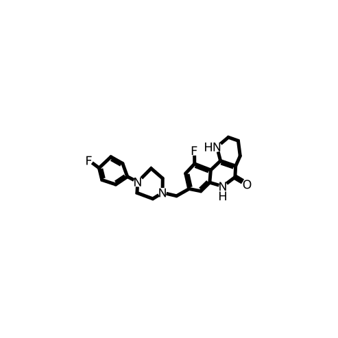 O=c1[nH]c2cc(CN3CCN(c4ccc(F)cc4)CC3)cc(F)c2c2c1CCCN2